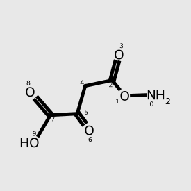 NOC(=O)CC(=O)C(=O)O